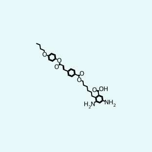 CCCCOc1ccc(OC(=O)/C=C/c2ccc(C(=O)OCCCCCCc3c(N)cc(N)cc3C(=O)O)cc2)cc1